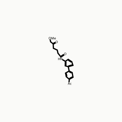 COCC(=O)CCCC(=O)Nc1cccc(-c2ccc(C(C)=O)cc2)c1